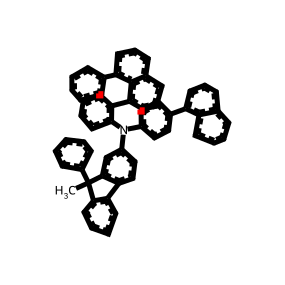 CC1(c2ccccc2)c2ccccc2-c2ccc(N(c3ccc(-c4cccc5ccccc45)cc3)c3ccccc3-c3cccc4cccc(-c5ccccc5)c34)cc21